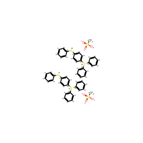 O=S(=O)([O-])C(F)(F)F.O=S(=O)([O-])C(F)(F)F.c1ccc(Sc2ccc([S+](c3ccccc3)c3ccccc3)cc2)cc1.c1ccc(Sc2ccc([S+](c3ccccc3)c3ccccc3)cc2)cc1